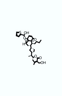 CCCC[C@H]1[C@H]([C@@H]2CC[C@H]([C@H](C)[C@H]3CC(C)=C(CO)C(=O)O3)C2)C[C@H]2O[C@]23[C@@H](OC(O)c2cccs2)C=CC(=O)[C@]13C